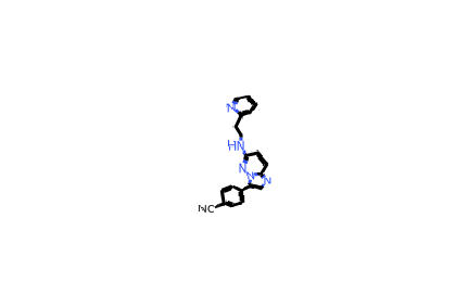 N#Cc1ccc(-c2cnc3ccc(NCCc4ccccn4)nn23)cc1